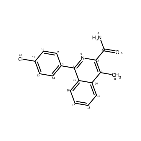 Cc1c(C(N)=O)nc(-c2ccc(Cl)cc2)c2ccccc12